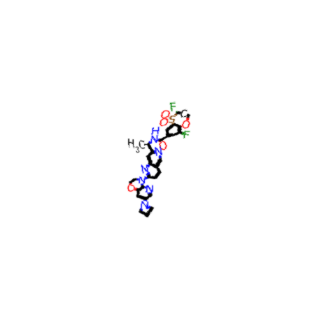 C[C@H](NC(=O)c1cc(F)c2c(c1)S(=O)(=O)[C@@H](F)CCO2)c1cc2nc(N3CCOc4cc(N5CCC5)cnc43)ccc2cn1